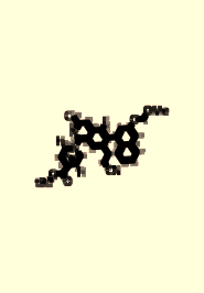 COCOc1cc(-c2c(CCC#N)cc3c(N4C[C@H]5CC[C@@H]4CN5C(=O)OC(C)(C)C)nc(Cl)cc3c2F)c2ccccc2c1